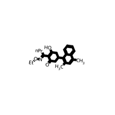 CCCC(=NOCC)C1=C(O)CC(c2c(C)cc(C)c3ccccc23)CC1=O